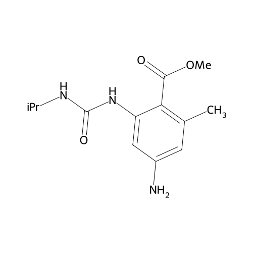 COC(=O)c1c(C)cc(N)cc1NC(=O)NC(C)C